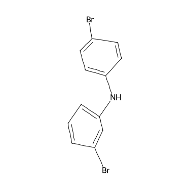 Brc1ccc(Nc2cccc(Br)c2)cc1